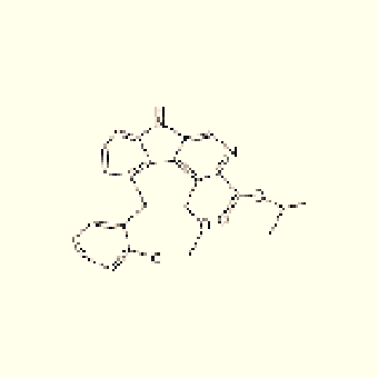 COCc1c(C(=O)OC(C)C)ncc2[nH]c3cccc(Cc4ccccc4Cl)c3c12